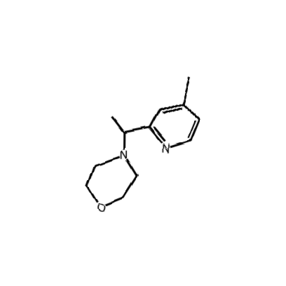 Cc1ccnc(C(C)N2CCOCC2)c1